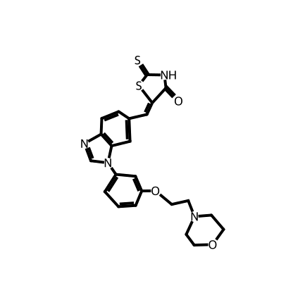 O=C1NC(=S)S/C1=C\c1ccc2ncn(-c3cccc(OCCN4CCOCC4)c3)c2c1